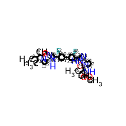 CCC(CC)[C@H](C)C(=O)N1CCC[C@H]1c1ncc(-c2ccc(-c3ccc(-c4cnc([C@@H]5CCCN5C(=O)[C@@H](NC(=O)OC)C(C)C)[nH]4)c(F)c3)cc2F)[nH]1